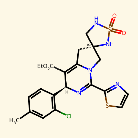 CCOC(=O)C1=C2C[C@@]3(CNS(=O)(=O)N3)CN2C(c2nccs2)=N[C@H]1c1ccc(C)cc1Cl